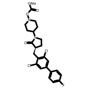 COC(=O)ON1CCC(N2CC[C@@H](Cc3c(Cl)cc(-c4ccc(F)cc4)cc3Cl)C2=O)CC1